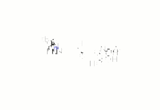 CCC(C)(C)OP(=O)(/N=C1\N(C)CCN1CCCCCCNC(=O)CCCCOC1OC(CO)C(O)C(O)C1NC(C)=O)OC(C)(C)C